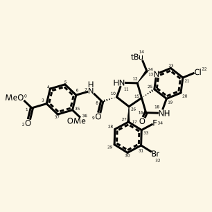 COC(=O)c1ccc(NC(=O)[C@@H]2N[C@@H](CC(C)(C)C)[C@@]3(C(=O)Nc4cc(Cl)cnc43)[C@H]2c2cccc(Br)c2F)c(OC)c1